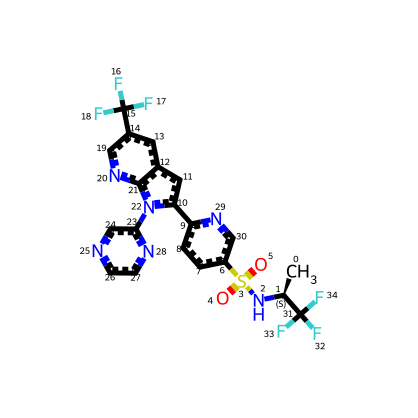 C[C@H](NS(=O)(=O)c1ccc(-c2cc3cc(C(F)(F)F)cnc3n2-c2cnccn2)nc1)C(F)(F)F